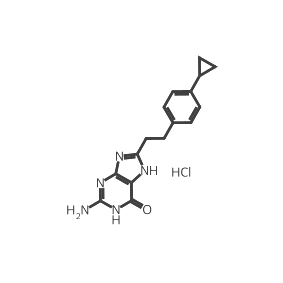 Cl.Nc1nc2nc(CCc3ccc(C4CC4)cc3)[nH]c2c(=O)[nH]1